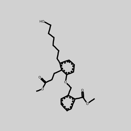 COC(=O)CCc1c(CCCCCCO)cccc1OCc1ccccc1C(=O)OC